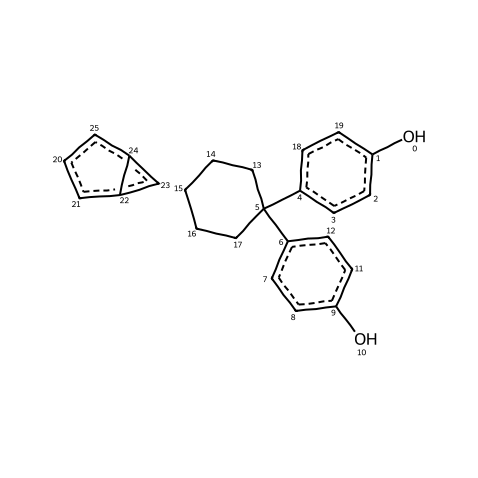 Oc1ccc(C2(c3ccc(O)cc3)CCCCC2)cc1.c1cc2cc-2c1